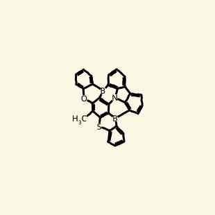 Cc1c2c3c4c5c1Sc1ccccc1B5c1cccc5c6cccc(c6n-4c15)B3c1ccccc1O2